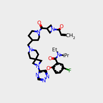 C=CC(=O)N1CC(C(=O)N2CCC(CN3CCC4(CC3)CN(c3ncnnc3Oc3ccc(F)cc3C(=O)N(CC)C(C)C)C4)CC2)C1